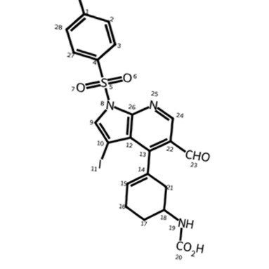 Cc1ccc(S(=O)(=O)n2cc(I)c3c(C4=CCCC(NC(=O)O)C4)c(C=O)cnc32)cc1